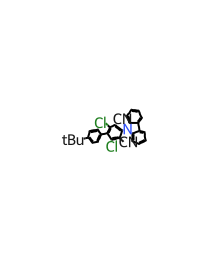 CC(C)(C)c1ccc(-c2c(Cl)c(C#N)c(-n3c4ccccc4c4ccccc43)c(C#N)c2Cl)cc1